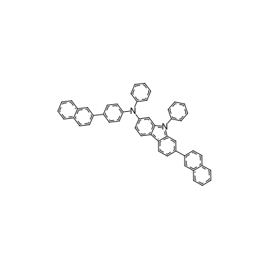 c1ccc(N(c2ccc(-c3ccc4ccccc4c3)cc2)c2ccc3c4ccc(-c5ccc6ccccc6c5)cc4n(-c4ccccc4)c3c2)cc1